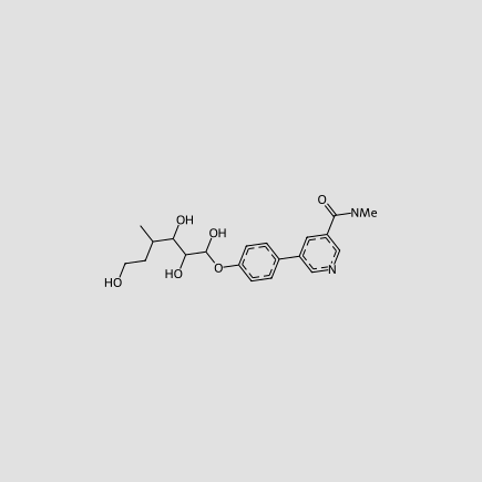 CNC(=O)c1cncc(-c2ccc(OC(O)C(O)C(O)C(C)CCO)cc2)c1